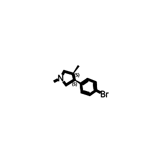 C[C@@H]1CN(C)C[C@@H]1c1ccc(Br)cc1